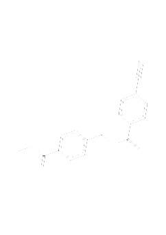 C=C(OCc1ccc(C(=O)OC)cc1)c1ccc(C#N)cc1